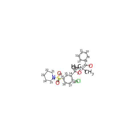 C=C(OC(C)(C)C(=O)c1ccccc1)c1cc(S(=O)(=O)N2CCCCC2)ccc1Cl